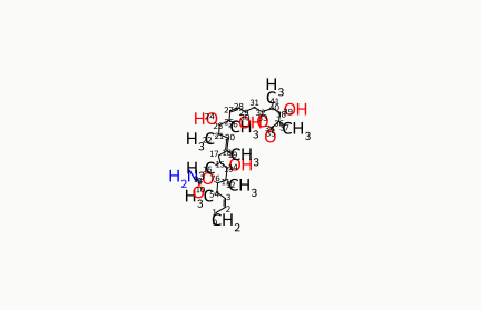 C=C/C=C\[C@H](C)C(OC(N)=O)[C@@H](C)[C@H](O)[C@@H](C)C/C(C)=C\[C@H](C)[C@@H](O)[C@@H](C)/C=C\[C@@H](O)C[C@@H]1OC(=O)[C@H](C)[C@@H](O)[C@H]1C